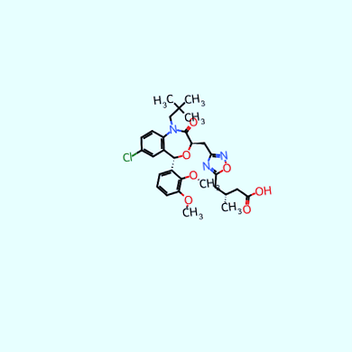 COc1cccc([C@H]2O[C@H](Cc3noc(C[C@@H](C)CC(=O)O)n3)C(=O)N(CC(C)(C)C)c3ccc(Cl)cc32)c1OC